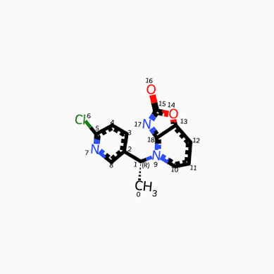 C[C@H](c1ccc(Cl)nc1)n1cccc2oc(=O)nc1-2